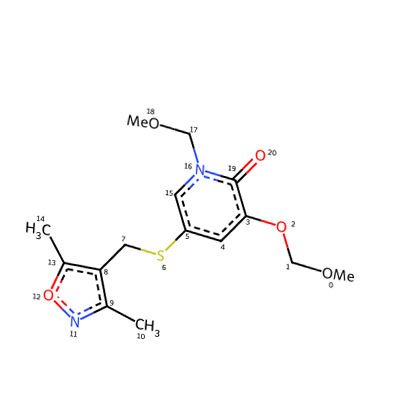 COCOc1cc(SCc2c(C)noc2C)cn(COC)c1=O